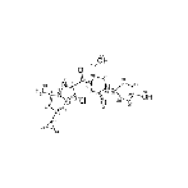 O=C1CN(C(=O)c2nn3c(C(F)(F)F)cc(C4CC4)cc3c2Cl)C(CO)CN1C1CCC(O)CC1